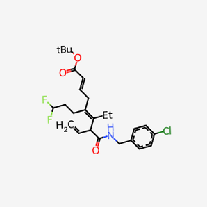 C=CC(C(=O)NCc1ccc(Cl)cc1)/C(CC)=C(/C/C=C/C(=O)OC(C)(C)C)CCC(F)F